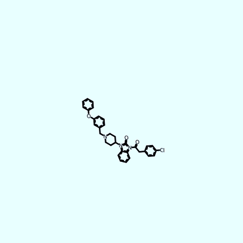 O=C(Cc1ccc(Cl)cc1)n1c(=O)n(C2CCN(Cc3cccc(Oc4ccccc4)c3)CC2)c2ccccc21